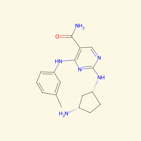 Cc1cccc(Nc2nc(N[C@@H]3CC[C@H](N)C3)ncc2C(N)=O)c1